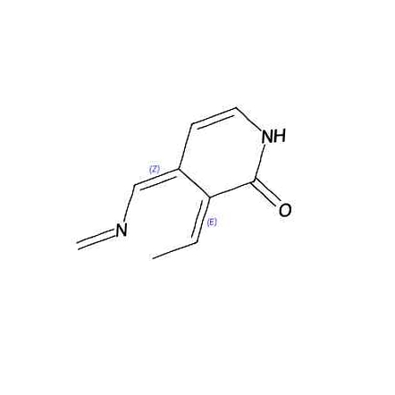 C=N/C=c1/cc[nH]c(=O)/c1=C/C